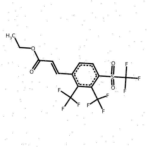 CCOC(=O)/C=C/c1ccc(S(=O)(=O)C(F)(F)F)c(C(F)(F)F)c1C(F)(F)F